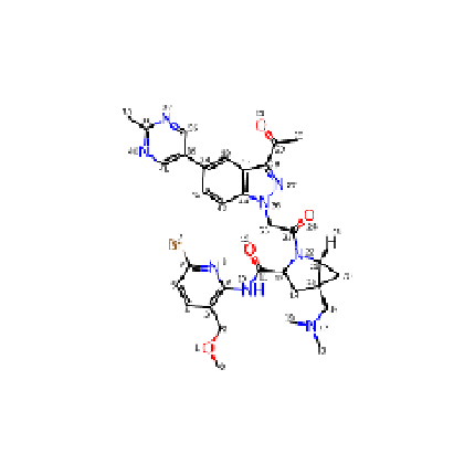 COCc1ccc(Br)nc1NC(=O)[C@@H]1C[C@@]2(CN(C)C)C[C@H]2N1C(=O)Cn1nc(C(C)=O)c2cc(-c3cnc(C)nc3)ccc21